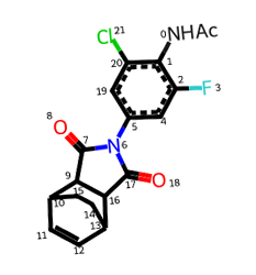 CC(=O)Nc1c(F)cc(N2C(=O)C3C4C=CC(CC4)C3C2=O)cc1Cl